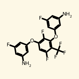 Nc1cc(F)cc(Oc2cc(F)c(C(F)(F)F)c(Oc3cc(N)cc(F)c3)c2F)c1